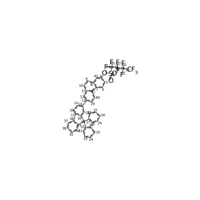 O=S(=O)(Oc1ccc2c(ccc3cc(-c4ccc5c(c4)C(c4ccccc4)(c4ccccc4)c4ccccc4-5)ccc32)c1)C(F)(F)C(F)(F)C(F)(F)C(F)(F)F